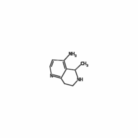 CC1NCCc2nccc(N)c21